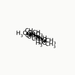 C[C@H](C(=O)ONC(=O)OC(C)(C)C)N(C)C(=O)OC(C)(C)C